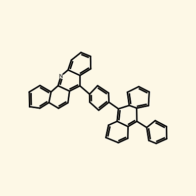 c1ccc(-c2c3ccccc3c(-c3ccc(-c4c5ccccc5nc5c4ccc4ccccc45)cc3)c3ccccc23)cc1